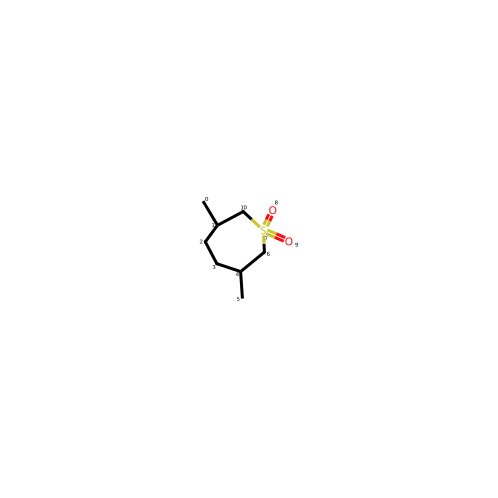 CC1CCC(C)CS(=O)(=O)C1